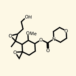 COC1C(OC(=O)N2CCOCC2)CCC2(CO2)C1C1(C)OC1CCO